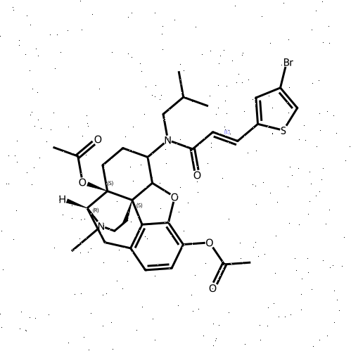 CC(=O)Oc1ccc2c3c1OC1C(N(CC(C)C)C(=O)/C=C/c4cc(Br)cs4)CC[C@@]4(OC(C)=O)[C@@H](C2)N(C)CC[C@]314